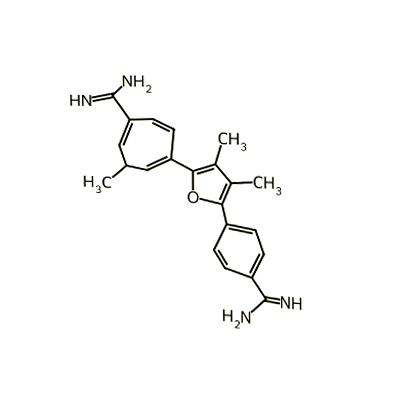 Cc1c(C2=CC(C)C=C(C(=N)N)C=C2)oc(-c2ccc(C(=N)N)cc2)c1C